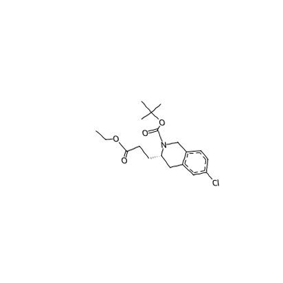 CCOC(=O)CC[C@H]1Cc2cc(Cl)ccc2CN1C(=O)OC(C)(C)C